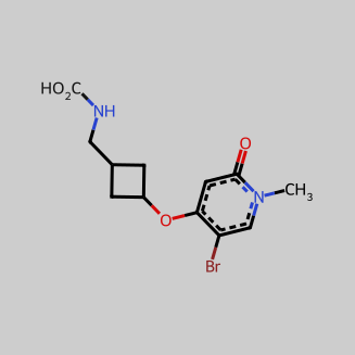 Cn1cc(Br)c(OC2CC(CNC(=O)O)C2)cc1=O